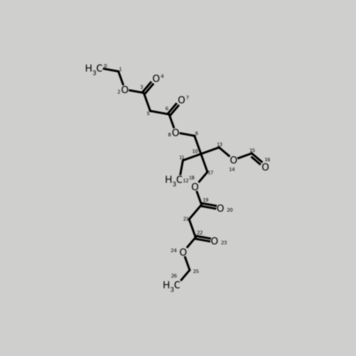 CCOC(=O)CC(=O)OCC(CC)(COC=O)COC(=O)CC(=O)OCC